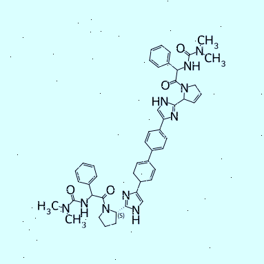 CN(C)C(=O)NC(C(=O)N1CC=CC1c1nc(-c2ccc(C3=CCC(c4c[nH]c([C@@H]5CCCN5C(=O)C(NC(=O)N(C)C)c5ccccc5)n4)C=C3)cc2)c[nH]1)c1ccccc1